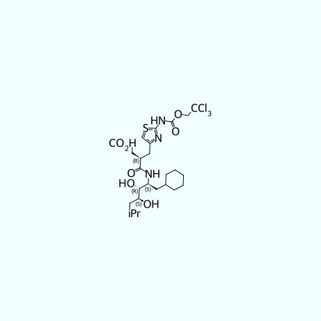 CC(C)C[C@H](O)[C@H](O)[C@H](CC1CCCCC1)NC(=O)[C@@H](CC(=O)O)Cc1csc(NC(=O)OCC(Cl)(Cl)Cl)n1